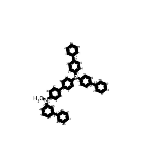 CN(c1ccc(-c2ccc(N(c3ccc(-c4ccccc4)cc3)c3ccc(-c4ccccc4)cc3)cc2)cc1)c1cccc(-c2ccccc2)c1